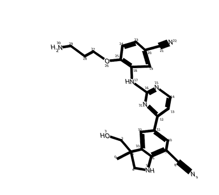 CC1(CO)CNc2c(C#N)cc(-c3ccnc(Nc4cc(C#N)ccc4OCCCN)n3)cc21